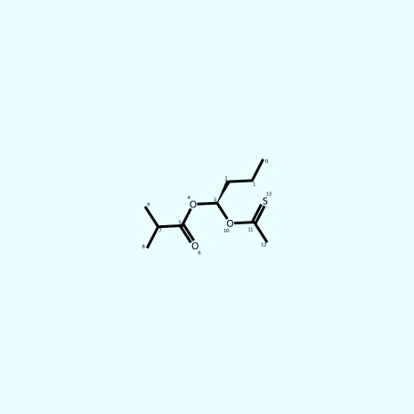 CCC[C@H](OC(=O)C(C)C)OC(C)=S